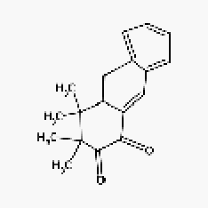 CC1(C)C(=O)C(=O)C2=Cc3ccccc3CC2C1(C)C